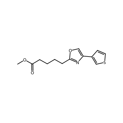 COC(=O)CCCCc1nc(-c2ccsc2)co1